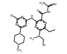 CCc1nc(Nc2nc(N(C)CC(C)C)c(CI)nc2C(=O)NC(=N)N)nc(N2CCN(C)CC2)n1